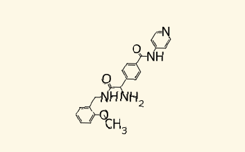 COc1ccccc1CNC(=O)C(N)c1ccc(C(=O)Nc2ccncc2)cc1